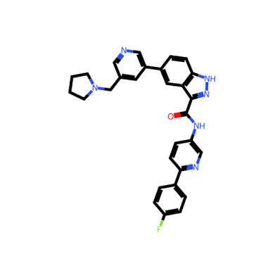 O=C(Nc1ccc(-c2ccc(F)cc2)nc1)c1n[nH]c2ccc(-c3cncc(CN4CCCC4)c3)cc12